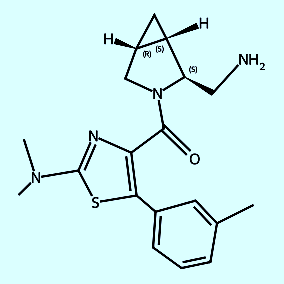 Cc1cccc(-c2sc(N(C)C)nc2C(=O)N2C[C@@H]3C[C@@H]3[C@H]2CN)c1